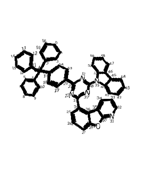 c1ccc(C(c2ccccc2)(c2ccccc2)c2ccc(-c3nc(-c4cccc5oc6ncccc6c45)nc(-n4c5ccccc5c5ccccc54)n3)cc2)cc1